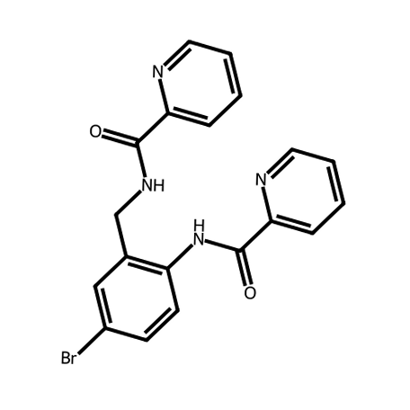 O=C(NCc1cc(Br)ccc1NC(=O)c1ccccn1)c1ccccn1